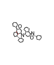 c1ccc(-c2nc3c(cc(N(c4ccc5c(c4)oc4ccccc45)c4ccccc4-c4ccccc4)c4ccccc43)o2)cc1